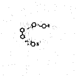 COC(=O)C1CCC(CCN2CCc3c(nc(C(=O)Nc4cccc(-c5cccc(NC(=O)c6nc7c(n6C)CCN(C(=O)OC(C)(C)C)C7)c5C)c4Cl)n3C)C2)CC1